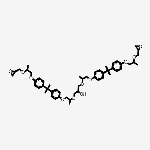 CC(COc1ccc(C(C)(C)c2ccc(OCC(C)OCC3CO3)cc2)cc1)OCC(O)COC(C)COc1ccc(C(C)(C)c2ccc(OCC(C)OCC3CO3)cc2)cc1